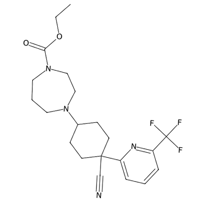 CCOC(=O)N1CCCN(C2CCC(C#N)(c3cccc(C(F)(F)F)n3)CC2)CC1